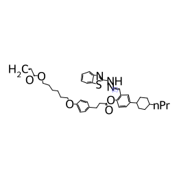 C=CC(=O)OCCCCCCOc1ccc(CCC(=O)Oc2ccc(C3CCC(CCC)CC3)cc2/C=N/Nc2nc3ccccc3s2)cc1